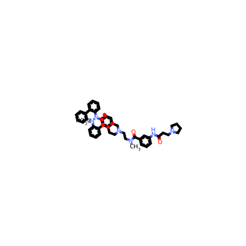 CN(CCN1CCC(OC(=O)N(c2ccccc2-c2ccccc2)N(C(=O)O)c2ccccc2-c2ccccc2)CC1)C(=O)c1cccc(NC(=O)CCN2CCCC2)c1